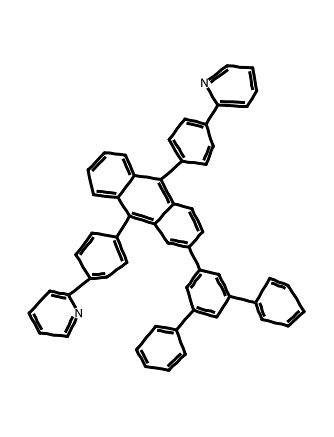 c1ccc(-c2cc(-c3ccccc3)cc(-c3ccc4c(-c5ccc(-c6ccccn6)cc5)c5ccccc5c(-c5ccc(-c6ccccn6)cc5)c4c3)c2)cc1